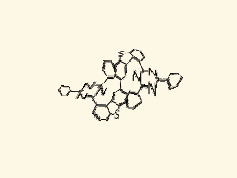 c1ccc(-c2nc(-c3ccccc3)nc(-c3cccc4sc5ccc(-c6ccc7sc8cccc(-c9nc(-c%10ccccc%10)nc(-c%10ccccc%10)n9)c8c7c6)cc5c34)n2)cc1